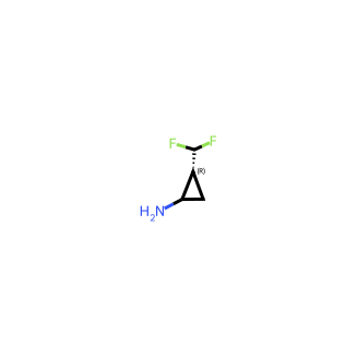 NC1C[C@H]1C(F)F